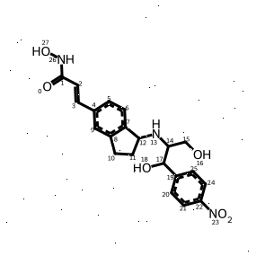 O=C(C=Cc1ccc2c(c1)CCC2NC(CO)C(O)c1ccc([N+](=O)[O-])cc1)NO